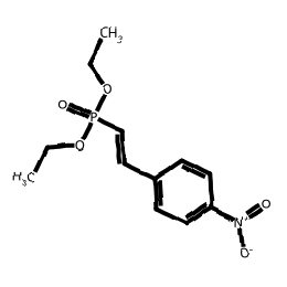 CCOP(=O)(C=Cc1ccc([N+](=O)[O-])cc1)OCC